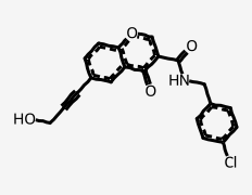 O=C(NCc1ccc(Cl)cc1)c1coc2ccc(C#CCO)cc2c1=O